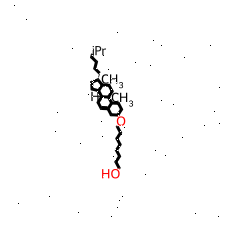 CC(C)CCCC[C@H]1CCC2[C@@H]3CC=C4CC(OCCCCCCCCO)CC[C@]4(C)C3CC[C@@]21C